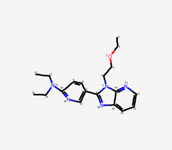 CCOCCn1c(-c2ccc(N(CC)CC)nc2)nc2cccnc21